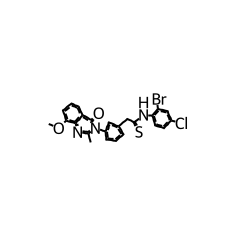 COc1cccc2c(=O)n(-c3cccc(CC(=S)Nc4ccc(Cl)cc4Br)c3)c(C)nc12